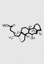 C[C@H](CCC(=O)O)[C@H]1CC[C@H]2C3[C@H](O)C[C@@H]4CCCC[C@]4(C)[C@H]3CC[C@]12C